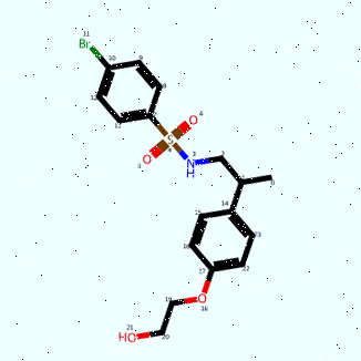 CC(CNS(=O)(=O)c1ccc(Br)cc1)c1ccc(OCCO)cc1